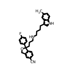 Cc1ccc2[nH]cc(CCCCNCCCC3(c4ccc(F)cc4)OCc4cc(C#N)ccc43)c2c1